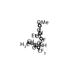 CCOc1cc(OCc2ccc(OC)cc2)ncc1-c1ccc(CC(=O)Nc2cc(C(=O)NC3CC(N(C)C)C3)cc(C(F)(F)F)c2)c(F)c1